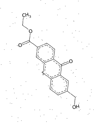 CCOC(=O)c1ccc2c(=O)c3cc(CO)ccc3sc2c1